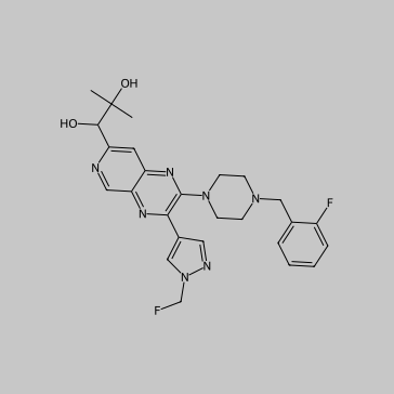 CC(C)(O)C(O)c1cc2nc(N3CCN(Cc4ccccc4F)CC3)c(-c3cnn(CF)c3)nc2cn1